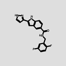 O=C(NCc1cc(F)ccc1F)c1ccc2[nH]c(-c3cc[nH]n3)cc2c1